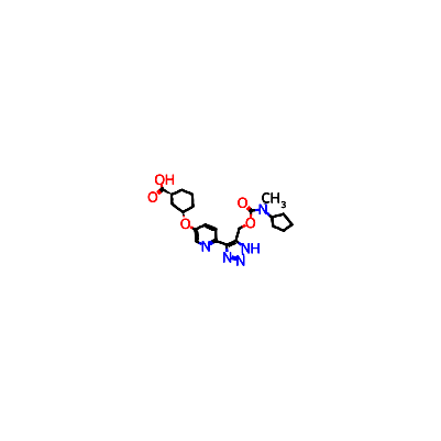 CN(C(=O)OCc1[nH]nnc1-c1ccc(O[C@H]2CCC[C@H](C(=O)O)C2)cn1)C1CCCC1